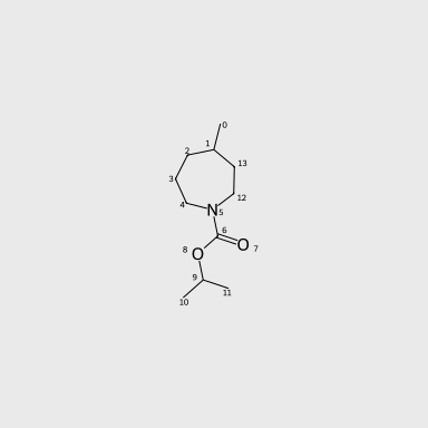 CC1CCCN(C(=O)OC(C)C)CC1